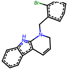 Brc1ccccc1CN1CC=Cc2c1[nH]c1ccccc21